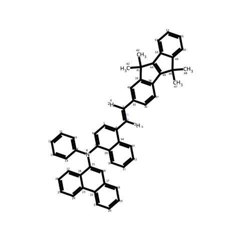 [2H]/C(=C(/[2H])c1ccc(N(c2ccccc2)c2cc3ccccc3c3ccccc23)c2ccccc12)c1ccc2c(c1)C(C)(C)C1=C2C(C)(C)c2ccccc21